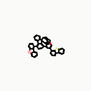 c1cc(-c2ccc(-c3cccc4oc5ccccc5c34)c3c2C2(c4ccccc4-3)C3CC4CC(C3)CC2C4)cc(-c2cccc3c2sc2ccccc23)c1